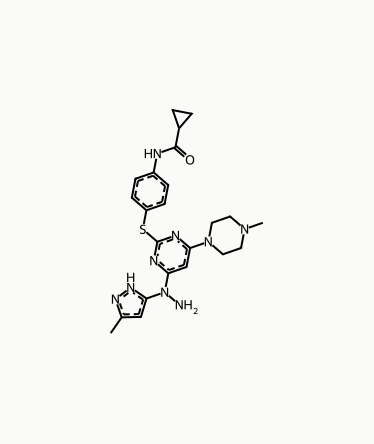 Cc1cc(N(N)c2cc(N3CCN(C)CC3)nc(Sc3ccc(NC(=O)C4CC4)cc3)n2)[nH]n1